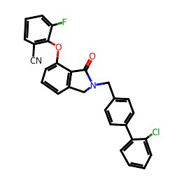 N#Cc1cccc(F)c1Oc1cccc2c1C(=O)N(Cc1ccc(-c3ccccc3Cl)cc1)C2